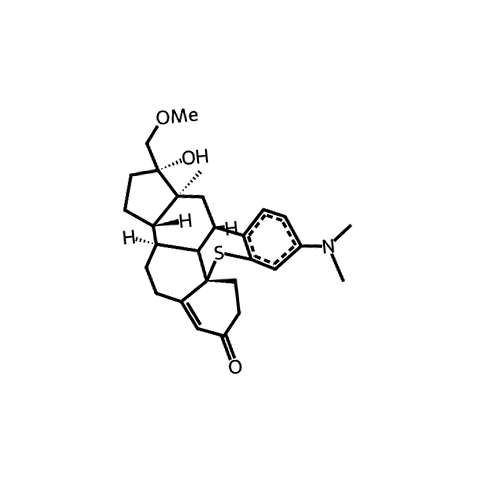 COC[C@]1(O)CC[C@H]2[C@@H]3CCC4=CC(=O)CC[C@@]45Sc4cc(N(C)C)ccc4[C@@H](C[C@@]21C)C35